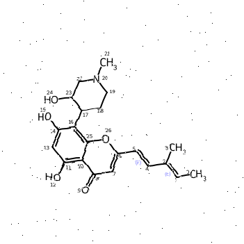 C/C=C(C)/C=C/c1cc(=O)c2c(O)cc(O)c(C3CCN(C)CC3O)c2o1